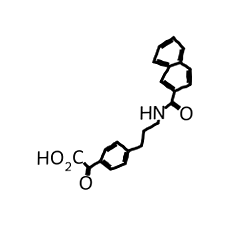 O=C(O)C(=O)c1ccc(CCCNC(=O)c2ccc3ccccc3c2)cc1